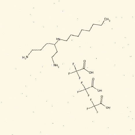 CCCCCCCCNC(CCN)CCCN.O=C(O)C(F)(F)F.O=C(O)C(F)(F)F.O=C(O)C(F)(F)F